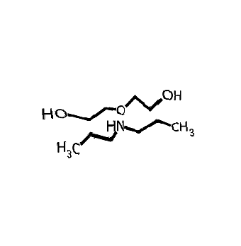 CCCNCCC.OCCOCCO